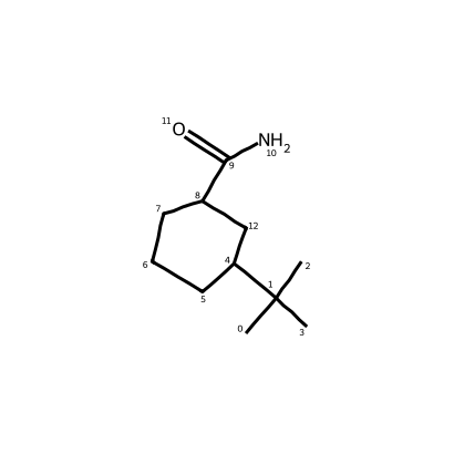 CC(C)(C)C1CCCC(C(N)=O)C1